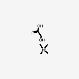 C[N+](C)(C)C.O=C(O)CO